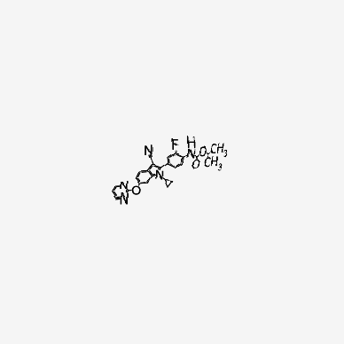 CC(C)OC(=O)Nc1ccc(-c2c(C#N)c3ccc(Oc4ncccn4)cc3n2C2CC2)cc1F